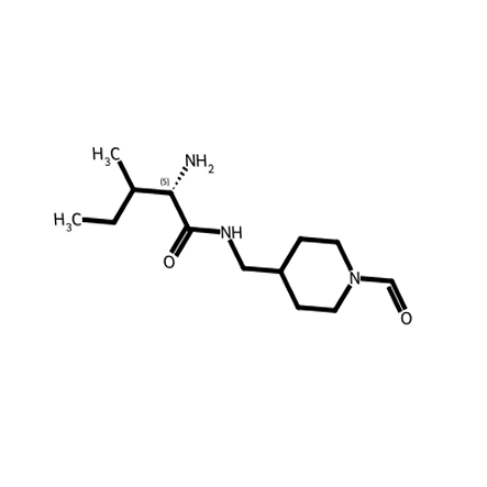 CCC(C)[C@H](N)C(=O)NCC1CCN(C=O)CC1